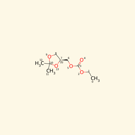 CCOC(=O)OC[C@@H]1COC(C)(C)O1